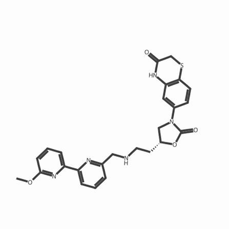 COc1cccc(-c2cccc(CNCC[C@@H]3CN(c4ccc5c(c4)NC(=O)CS5)C(=O)O3)n2)n1